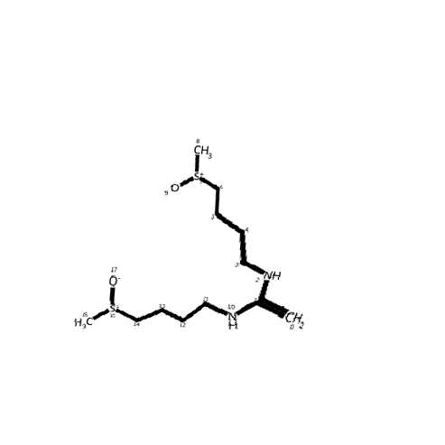 C=C(NCCCC[S+](C)[O-])NCCCC[S+](C)[O-]